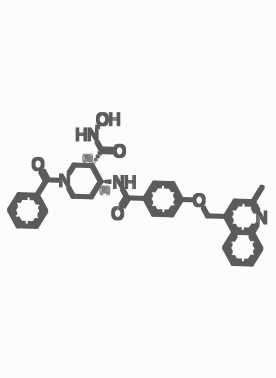 Cc1cc(COc2ccc(C(=O)N[C@@H]3CCN(C(=O)c4ccccc4)C[C@@H]3C(=O)NO)cc2)c2ccccc2n1